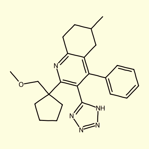 COCC1(c2nc3c(c(-c4ccccc4)c2-c2nnn[nH]2)CC(C)CC3)CCCC1